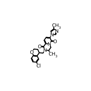 Cc1cn(-c2ccc3n(c2=O)CC(C)N(CC2CCOc4ccc(Cl)cc42)C3=O)cn1